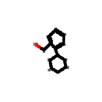 [O]Cc1ccccc1C1CCCCC1